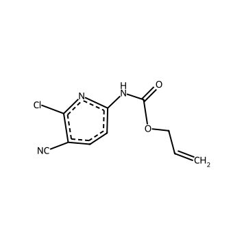 C=CCOC(=O)Nc1ccc(C#N)c(Cl)n1